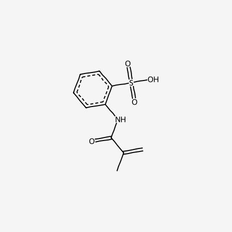 C=C(C)C(=O)Nc1ccccc1S(=O)(=O)O